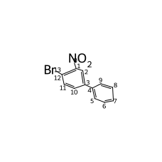 O=[N+]([O-])c1cc(-c2ccccc2)ccc1Br